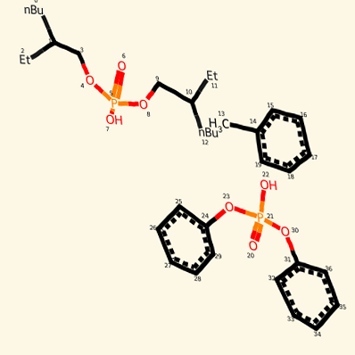 CCCCC(CC)COP(=O)(O)OCC(CC)CCCC.Cc1ccccc1.O=P(O)(Oc1ccccc1)Oc1ccccc1